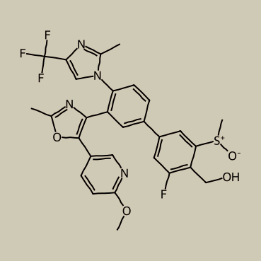 COc1ccc(-c2oc(C)nc2-c2cc(-c3cc(F)c(CO)c([S+](C)[O-])c3)ccc2-n2cc(C(F)(F)F)nc2C)cn1